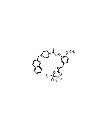 COc1ccc(CNC(=O)OC(C)(C)C)cc1OCC(=O)N1CCN(Cc2ccc3ccccc3n2)CC1